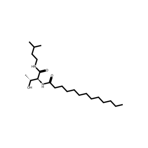 CCCCCCCCCCCCC(=O)N[C@H](C(=O)NCCC(C)C)[C@@H](C)O